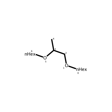 CCCCCCOCC(C)OCCCCCC